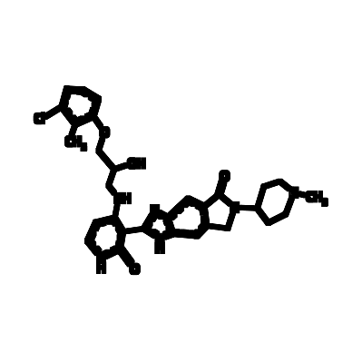 Cc1c(Cl)cccc1OCC(O)CNc1cc[nH]c(=O)c1-c1nc2cc3c(cc2[nH]1)CN(C1CCN(C)CC1)C3=O